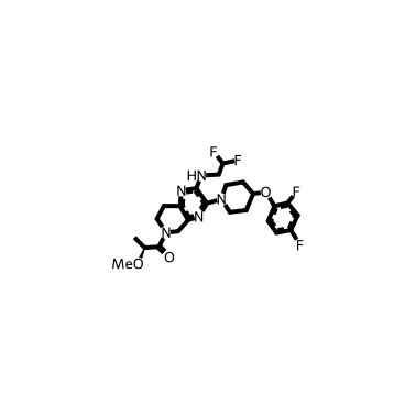 CO[C@@H](C)C(=O)N1CCc2nc(NCC(F)F)c(N3CCC(Oc4ccc(F)cc4F)CC3)nc2C1